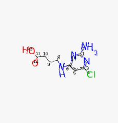 Nc1nc(Cl)cc(NCCCC(=O)O)n1